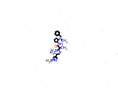 C=C(/C=N\C(N)=C(/C)C(=O)N[C@H]1CCCC1N(C)Cc1ccccc1)c1cnn(C)c1